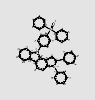 O=P(c1ccccc1)(c1ccccc1)c1ccc(-n2c3ccccc3c3ccc4c(cc(-c5ccccc5)n4-c4ccccc4)c32)cc1